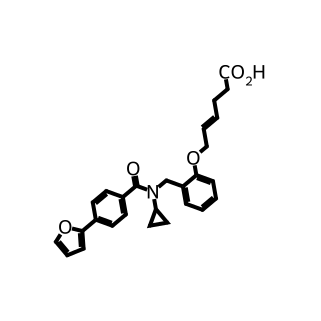 O=C(O)CCC=CCOc1ccccc1CN(C(=O)c1ccc(-c2ccco2)cc1)C1CC1